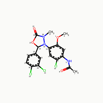 COc1cc(NC(C)=O)c(Cl)cc1N1C(c2ccc(Cl)c(Cl)c2)OC(=O)N1C